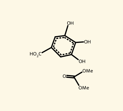 COC(=O)OC.O=C(O)c1cc(O)c(O)c(O)c1